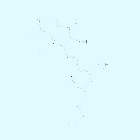 CCn1c(O)c(/N=N/c2ccc(SOOO)cc2C(=O)O)c(C)c(C(N)=O)c1=O